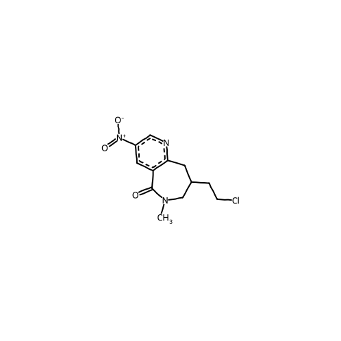 CN1CC(CCCl)Cc2ncc([N+](=O)[O-])cc2C1=O